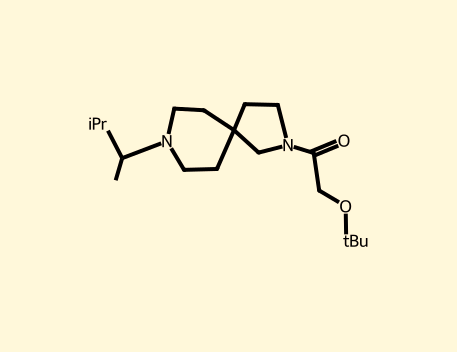 CC(C)C(C)N1CCC2(CCN(C(=O)COC(C)(C)C)C2)CC1